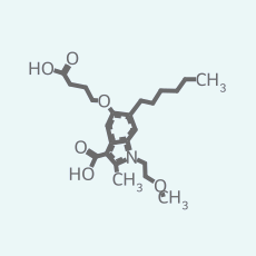 CCCCCCc1cc2c(cc1OCCCC(=O)O)c(C(=O)O)c(C)n2CCOC